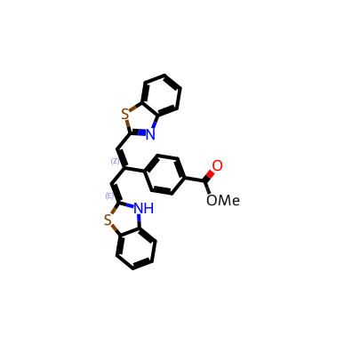 COC(=O)c1ccc(C(=C\c2nc3ccccc3s2)/C=C2\Nc3ccccc3S2)cc1